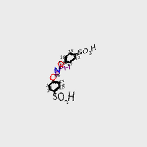 O=S(=O)(O)c1ccc(OP=NPOc2ccc(S(=O)(=O)O)cc2)cc1